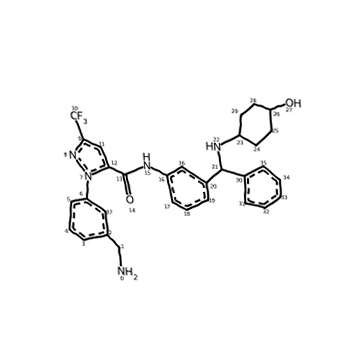 NCc1cccc(-n2nc(C(F)(F)F)cc2C(=O)Nc2cccc(C(NC3CCC(O)CC3)c3ccccc3)c2)c1